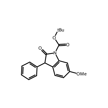 COc1ccc2c(c1)N(C(=O)OC(C)(C)C)C(=O)C2c1ccccc1